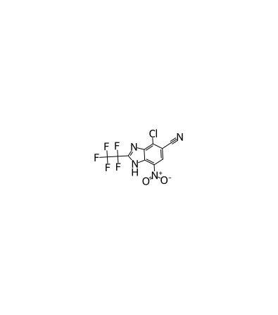 N#Cc1cc([N+](=O)[O-])c2[nH]c(C(F)(F)C(F)(F)F)nc2c1Cl